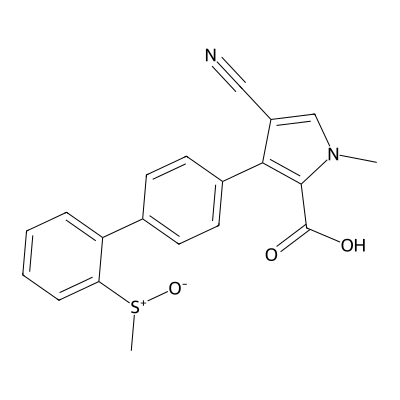 Cn1cc(C#N)c(-c2ccc(-c3ccccc3[S+](C)[O-])cc2)c1C(=O)O